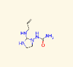 C=CCNC1NCCN1NC(N)=O